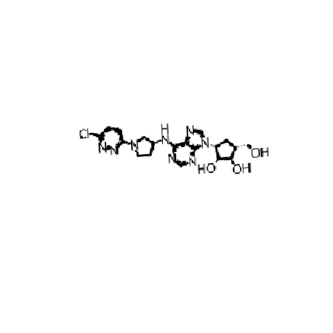 OC[C@H]1C[C@@H](n2cnc3c(N[C@H]4CCN(c5ccc(Cl)nn5)C4)ncnc32)[C@H](O)[C@@H]1O